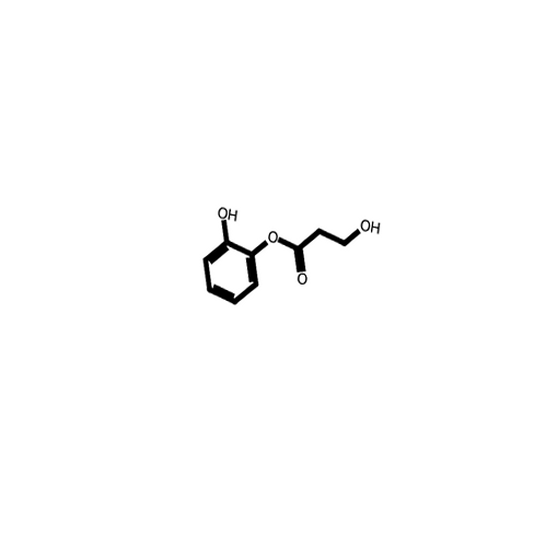 O=C(CCO)Oc1ccccc1O